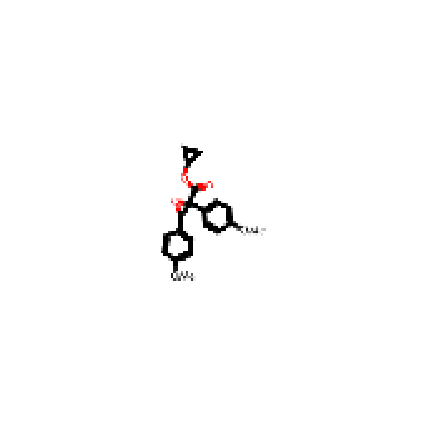 COc1ccc(C2OC2(C(=O)OC2CC2)c2ccc(OC)cc2)cc1